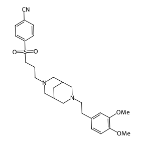 COc1ccc(CCN2CC3CC(CN(CCCS(=O)(=O)c4ccc(C#N)cc4)C3)C2)cc1OC